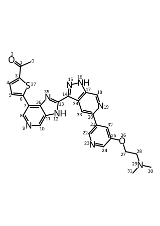 CC(=O)c1ccc(-c2cncc3[nH]c(-c4n[nH]c5cnc(-c6cncc(OCCN(C)C)c6)cc45)nc23)s1